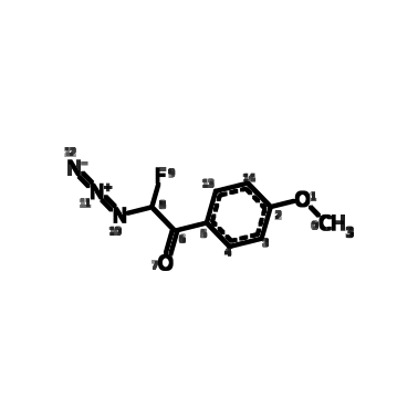 COc1ccc(C(=O)C(F)N=[N+]=[N-])cc1